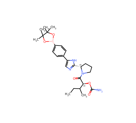 CCC(C)[C@H](OC(N)=O)C(=O)N1CCC[C@H]1c1ncc(-c2ccc(B3OC(C)(C)C(C)(C)O3)cc2)[nH]1